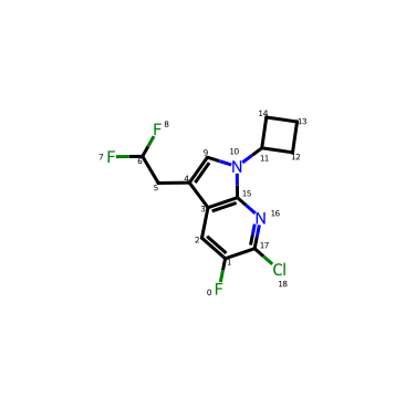 Fc1cc2c(CC(F)F)cn(C3CCC3)c2nc1Cl